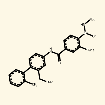 COc1cc(C(=O)Nc2ccc(-c3ccccc3C(F)(F)F)c(COC(C)=O)c2)ccc1[S+]([O-])NC(C)(C)C